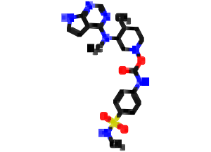 CNS(=O)(=O)c1ccc(NC(=O)ON2CCC(C)C(N(C)c3ncnc4[nH]ccc34)C2)cc1